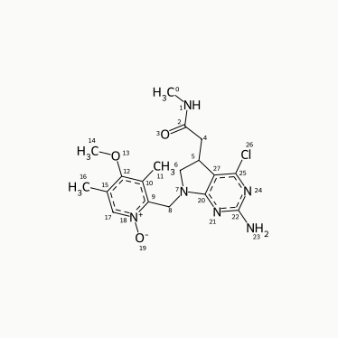 CNC(=O)CC1CN(Cc2c(C)c(OC)c(C)c[n+]2[O-])c2nc(N)nc(Cl)c21